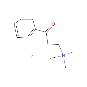 C[N+](C)(C)CCC(=O)c1ccccc1.[I-]